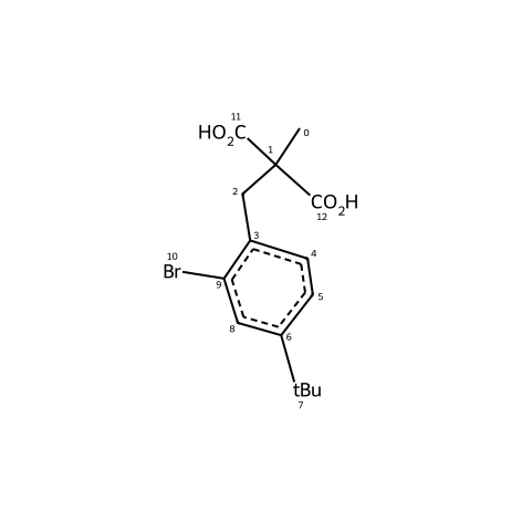 CC(Cc1ccc(C(C)(C)C)cc1Br)(C(=O)O)C(=O)O